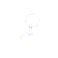 S=CNN1CCCCC1